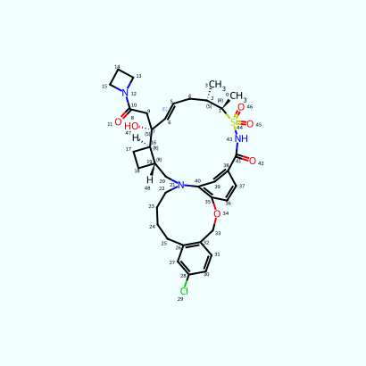 C[C@@H]1[C@@H](C)C/C=C/[C@](O)(CC(=O)N2CCC2)[C@@H]2CC[C@H]2CN2CCCCc3cc(Cl)ccc3COc3ccc(cc32)C(=O)NS1(=O)=O